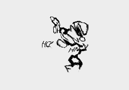 Cl.O=C1OCCN1c1cc(N2CCOCC2O)cn2c(=O)cc(-c3ncc(Cc4ccc(F)cc4)[nH]3)nc12